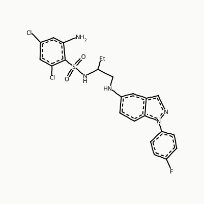 CCC(CNc1ccc2c(cnn2-c2ccc(F)cc2)c1)NS(=O)(=O)c1c(N)cc(Cl)cc1Cl